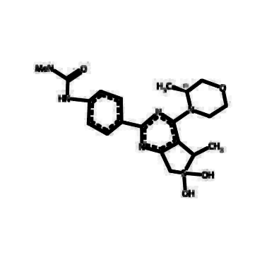 CNC(=O)Nc1ccc(-c2nc3c(c(N4CCOC[C@@H]4C)n2)C(C)S(O)(O)C3)cc1